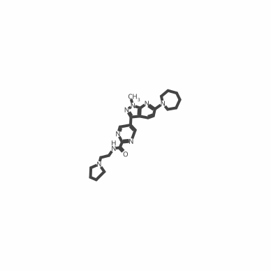 Cn1nc(-c2cnc(C(=O)NCCN3CCCC3)nc2)c2ccc(N3CCCCCC3)nc21